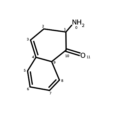 NC1CC=C2C=CC=CC2C1=O